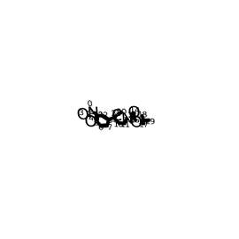 Cn1c(=O)oc2ccc(C3CCN(C(=O)OC(C)(C)C)CC3)cc21